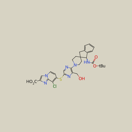 CC(C)(C)OC(=O)N[C@@H]1c2ccccc2CC12CCN(c1ncc(Sc3ccn4cc(C(=O)O)nc4c3Cl)nc1CO)CC2